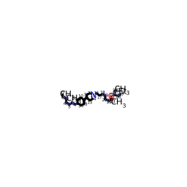 C/C=C(C)/C=C\C=C\C1C=CC(C2CCN(CC/C=C\C=C/C(C)OC(/C=C\CC)=C/C)CC2)=CC1